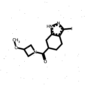 COC1CN(C(=O)C2CCc3c(I)n[nH]c3C2)C1